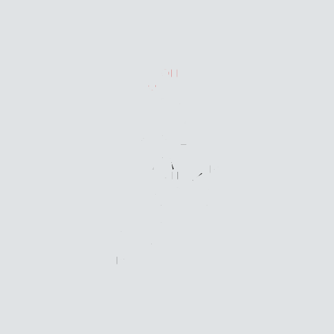 CC(C)[C@H](C)CC[C@@H](C)[C@H]1CC[C@H]2[C@@H]3CCC4C[C@@H](OO)CC[C@]4(C)[C@H]3CC[C@]12C